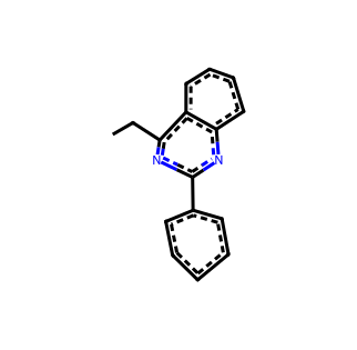 CCc1nc(-c2ccccc2)nc2ccccc12